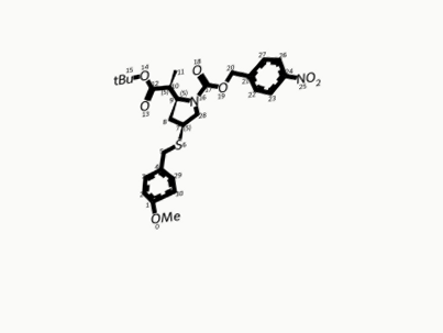 COc1ccc(CS[C@H]2C[C@@H]([C@H](C)C(=O)OC(C)(C)C)N(C(=O)OCc3ccc([N+](=O)[O-])cc3)C2)cc1